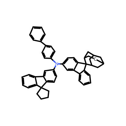 c1ccc(-c2ccc(N(c3ccc4c(c3)-c3ccccc3C43CCCC3)c3ccc4c(c3)-c3ccccc3C43C4CCC5CC(C4)CC3C5)cc2)cc1